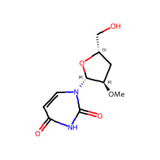 CO[C@@H]1C[C@@H](CO)O[C@H]1n1ccc(=O)[nH]c1=O